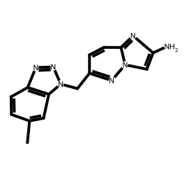 Cc1ccc2nnn(Cc3ccc4nc(N)cn4n3)c2c1